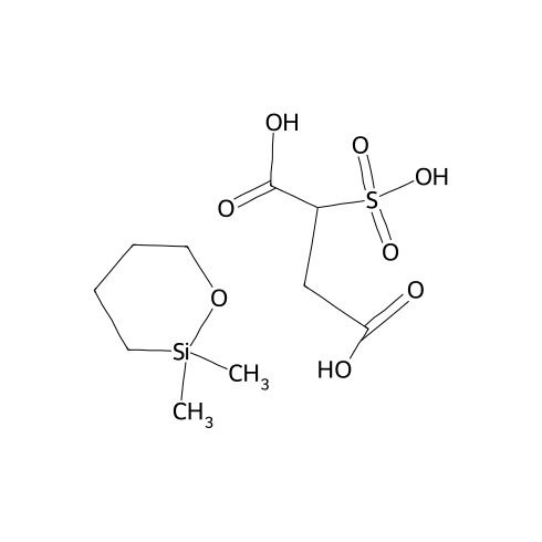 C[Si]1(C)CCCCO1.O=C(O)CC(C(=O)O)S(=O)(=O)O